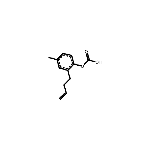 C=CCCc1cc(C)ccc1OC(=O)O